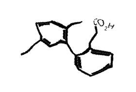 Cc1ccc(C)c(-c2ccccc2C(=O)O)c1